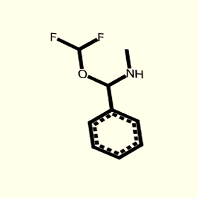 CNC(OC(F)F)c1ccccc1